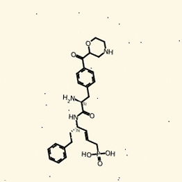 N[C@@H](Cc1ccc(C(=O)C2CNCCO2)cc1)C(=O)N[C@H](C=CCP(=O)(O)O)CCc1ccccc1